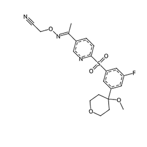 COC1(c2cc(F)cc(S(=O)(=O)c3ccc(C(C)=NOCC#N)cn3)c2)CCOCC1